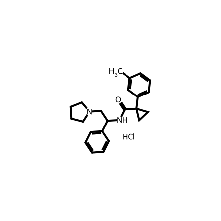 Cc1cccc(C2(C(=O)NC(CN3CCCC3)c3ccccc3)CC2)c1.Cl